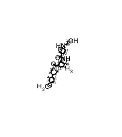 COc1ccc(C2CCN(C(=O)c3ccc(C)c(NC(=O)c4ccc(NCCO)nc4)c3)CC2)cc1